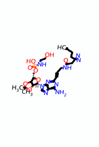 C#CCCC1(CC(=O)NCC#Cc2nc(N)c3ncn([C@H]4O[C@@H](COP(=O)(O)NCCO)C5OC(C)(C)OC54)c3n2)N=N1